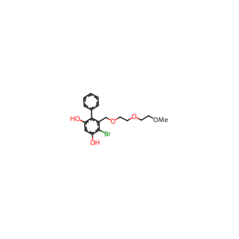 COCCOCCOCc1c(Br)c(O)cc(O)c1-c1ccccc1